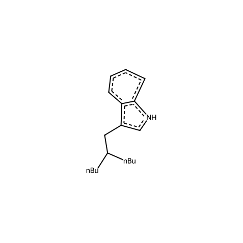 CCCCC(CCCC)Cc1c[nH]c2ccccc12